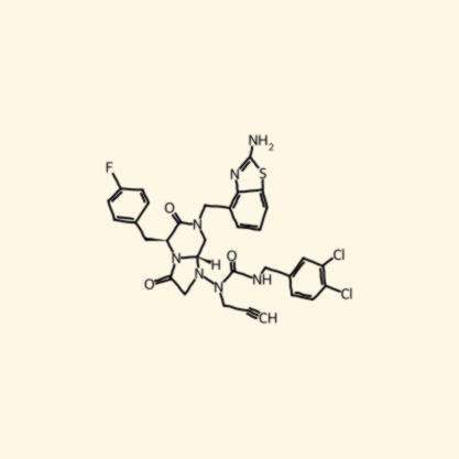 C#CCN(C(=O)NCc1ccc(Cl)c(Cl)c1)N1CC(=O)N2[C@@H](Cc3ccc(F)cc3)C(=O)N(Cc3cccc4sc(N)nc34)C[C@@H]21